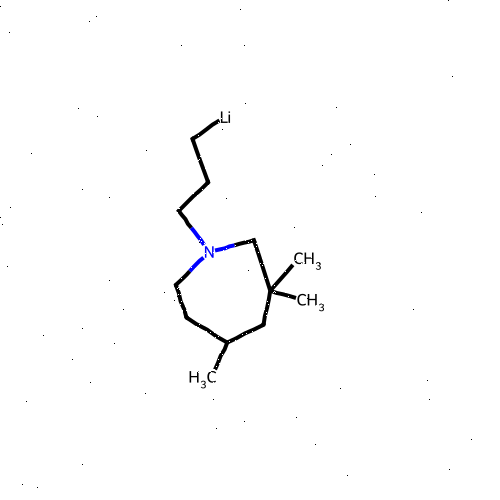 [Li][CH2]CCN1CCC(C)CC(C)(C)C1